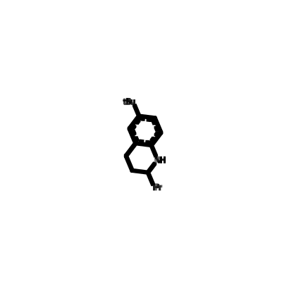 CC(C)C1CCc2cc(C(C)(C)C)ccc2N1